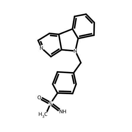 CS(=N)(=O)c1ccc(Cn2c3ccccc3c3ccncc32)cc1